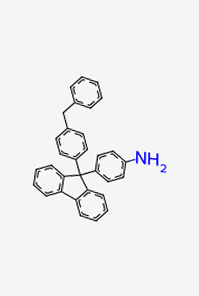 Nc1ccc(C2(c3ccc(Cc4ccccc4)cc3)c3ccccc3-c3ccccc32)cc1